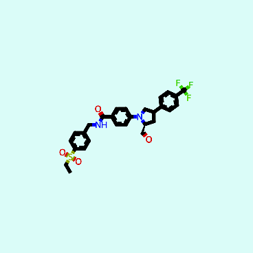 CCS(=O)(=O)c1ccc(CNC(=O)c2ccc(N3CC(c4ccc(C(F)(F)F)cc4)C[C@H]3C=O)cc2)cc1